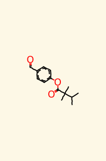 CC(C)C(C)(C)C(=O)Oc1ccc(C=O)cc1